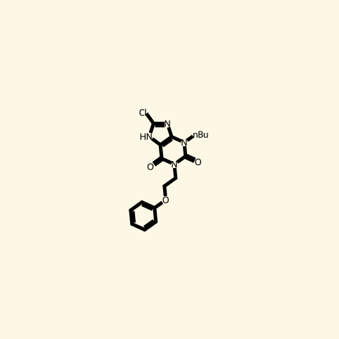 CCCCn1c(=O)n(CCOc2ccccc2)c(=O)c2[nH]c(Cl)nc21